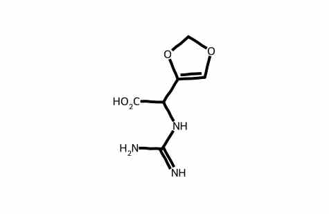 N=C(N)NC(C(=O)O)C1=COCO1